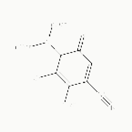 CCCCCCCCC1=C(Cl)C(N(CCCCCCCC)CCCCCCCC)C(=O)C=C1[N+]#N